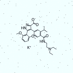 CCN(CC)CCNC(=O)c1ccc(-c2c(C(=O)[O-])n[nH]c2-c2c(OC)cccc2OC)cc1C(C)C.[K+]